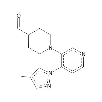 Cc1cnn(-c2ccncc2N2CCC(C=O)CC2)c1